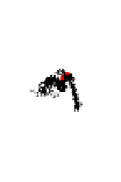 CC(C)(N)C(=O)Nc1cccc(S(=O)(=O)Nc2nc3ccccc3nc2Nc2cc(OCCCOCCOCCN=[N+]=[N-])ccc2Cl)c1